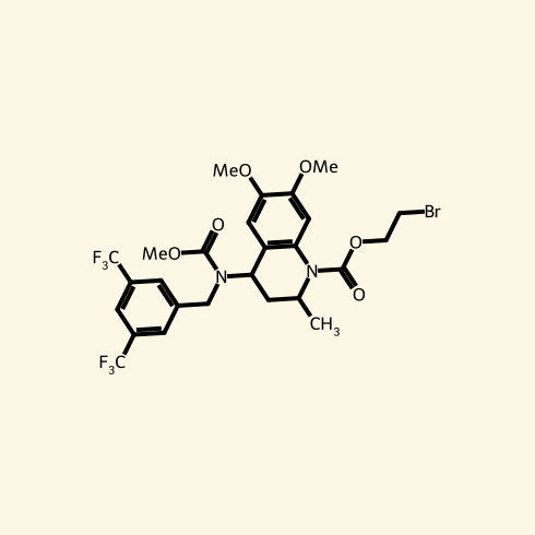 COC(=O)N(Cc1cc(C(F)(F)F)cc(C(F)(F)F)c1)C1CC(C)N(C(=O)OCCBr)c2cc(OC)c(OC)cc21